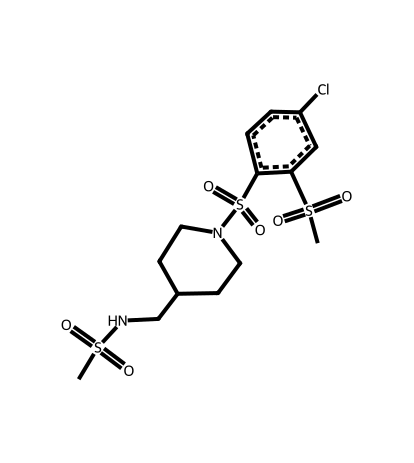 CS(=O)(=O)NCC1CCN(S(=O)(=O)c2ccc(Cl)cc2S(C)(=O)=O)CC1